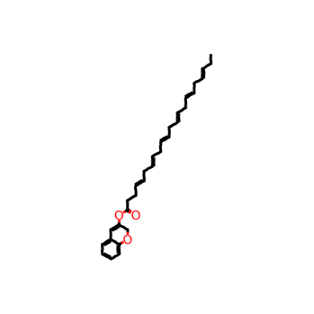 CCC=CCC=CCC=CCC=CCC=CCC=CCCC(=O)OC1=Cc2ccccc2OC1